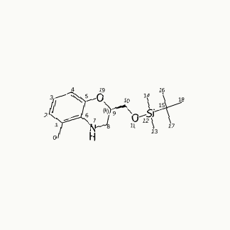 Cc1cccc2c1NC[C@H](CO[Si](C)(C)C(C)(C)C)O2